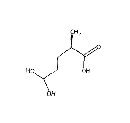 C[C@H](CCC(O)O)C(=O)O